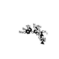 C=CC1C[C@]1(NC(=O)[C@@H]1C[C@@H](Oc2cc(CCC)nc3c(Br)c(OC)ccc23)CN1C(=O)[C@@H](O)C(C)(C)C)C(=O)NS(=O)(=O)C1CC1